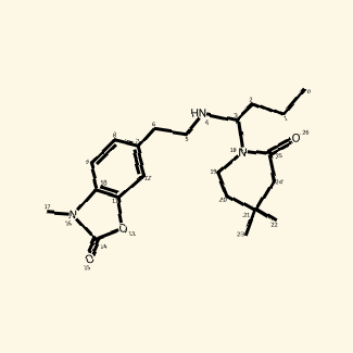 CCCC(NCCc1ccc2c(c1)oc(=O)n2C)N1CCC(C)(C)CC1=O